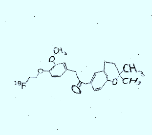 COc1cc(CC(=O)c2ccc3c(c2)CCC(C)(C)O3)ccc1OCC[18F]